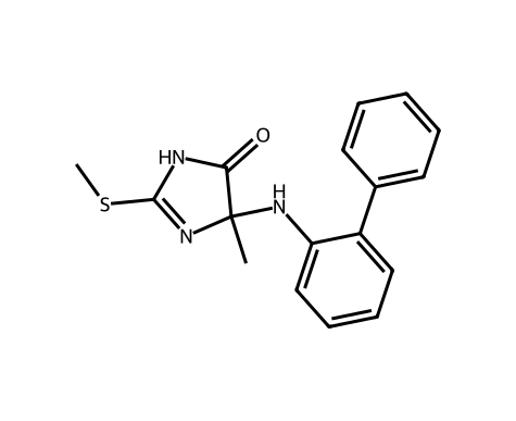 CSC1=NC(C)(Nc2ccccc2-c2ccccc2)C(=O)N1